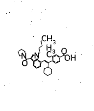 CCCCCn1cc(C(=O)N2CCCC2)c2cccc(/C=C(/c3ccc(C(=O)O)cc3C)C3CCCCC3)c21